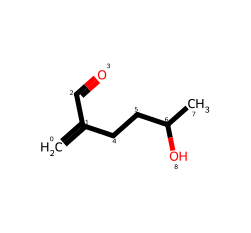 C=C(C=O)CCC(C)O